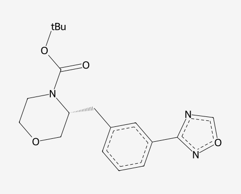 CC(C)(C)OC(=O)N1CCOC[C@H]1Cc1cccc(-c2ncon2)c1